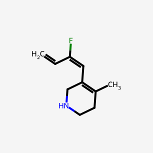 C=C/C(F)=C\C1=C(C)CCNC1